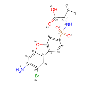 CC(C)[C@H](NS(=O)(=O)c1ccc2c(c1)oc1cc(N)c(Br)cc12)C(=O)O